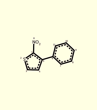 O=[N+]([O-])c1sccc1-c1ccccc1